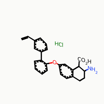 C=Cc1cccc(-c2ccccc2Oc2ccc3c(c2)C(C(=O)O)C(N)CC3)c1.Cl